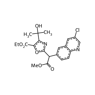 CCOC(=O)c1oc(C(C(=O)OC)c2ccc3ncc(Cl)cc3c2)nc1C(C)(C)O